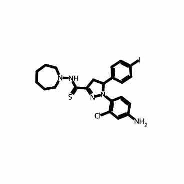 Nc1ccc(N2N=C(C(=S)NN3CCCCCC3)CC2c2ccc(I)cc2)c(Cl)c1